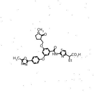 CCC(C(=O)O)c1csc(NC(=O)c2cc(OCC3CCN(C)C3=O)cc(Oc3ccc(-c4nnc(C)o4)cc3)c2)n1